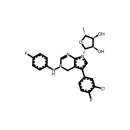 C[C@H]1O[C@@H](n2cc(-c3ccc(F)c(Cl)c3)c3c2N=CN(Nc2ccc(F)cc2)C3)[C@H](O)[C@@H]1O